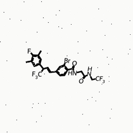 Cc1cc(C(/C=C/c2ccc(C(=O)NCC(=O)NCC(F)(F)F)c(Br)c2)C(F)(F)F)cc(C)c1F